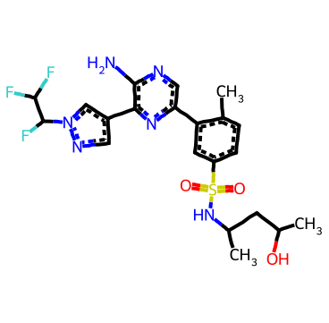 Cc1ccc(S(=O)(=O)NC(C)CC(C)O)cc1-c1cnc(N)c(-c2cnn(C(F)C(F)F)c2)n1